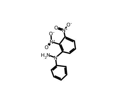 NN(c1ccccc1)c1cccc([N+](=O)[O-])c1[N+](=O)[O-]